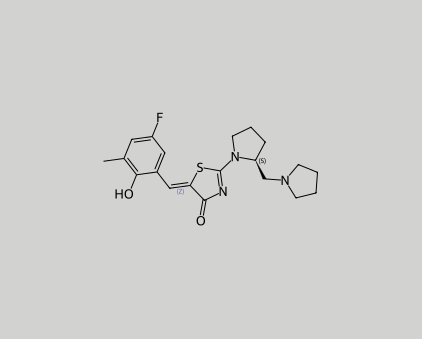 Cc1cc(F)cc(/C=C2\SC(N3CCC[C@H]3CN3CCCC3)=NC2=O)c1O